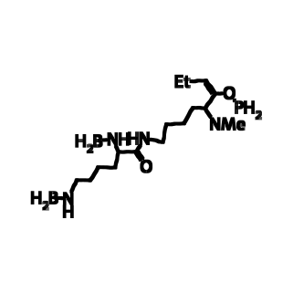 BNCCCCC(NB)C(=O)NCCCCC(NC)/C(=C\CC)OP